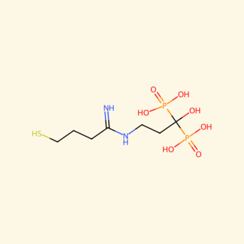 N=C(CCCS)NCCC(O)(P(=O)(O)O)P(=O)(O)O